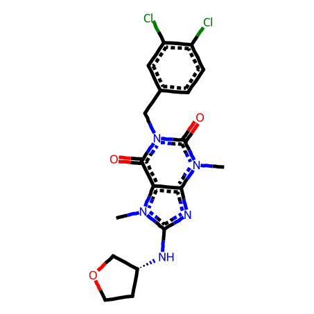 Cn1c(N[C@@H]2CCOC2)nc2c1c(=O)n(Cc1ccc(Cl)c(Cl)c1)c(=O)n2C